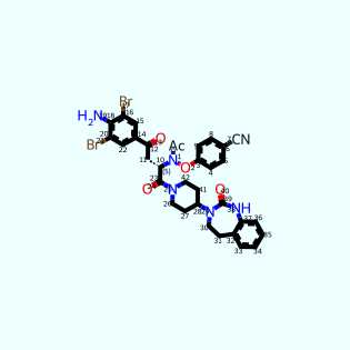 CC(=O)N(Oc1ccc(C#N)cc1)[C@@H](CC(=O)c1cc(Br)c(N)c(Br)c1)C(=O)N1CCC(N2CCc3ccccc3NC2=O)CC1